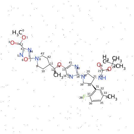 COC(=O)c1noc(N2CCC([C@H](C)Oc3cnc(N4C[C@H](NC(=O)OC(C)(C)C)[C@@H](c5cc(C)ccc5F)C4)nc3)CC2)n1